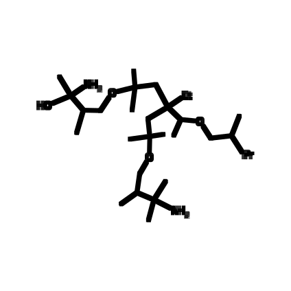 CCC(CC(C)(C)OCC(C)C(C)(C)N)(CC(C)(C)OCC(C)C(C)(N)O)C(C)OCC(C)C(C)C